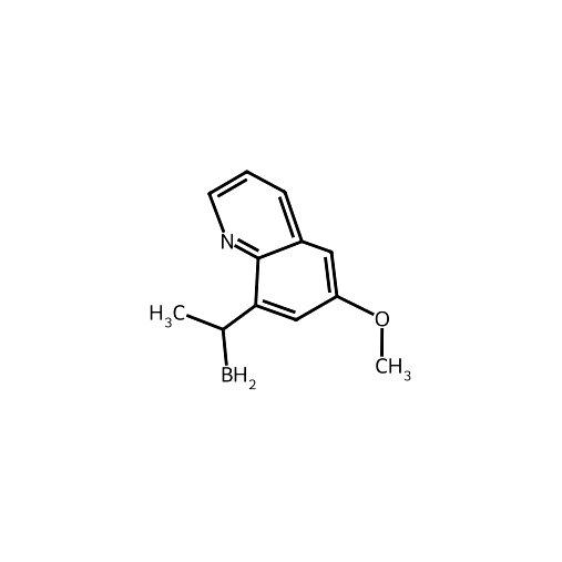 BC(C)c1cc(OC)cc2cccnc12